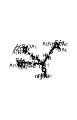 CCCOP(OC1CCC(C(=O)NC(COCCC(=O)NCCOCCOC2OC(COC(C)=O)C(OC(C)=O)C(OC(C)=O)C2NC(C)=O)(COCCC(=O)NCCOCCOC2OC(COC(C)=O)C(OC(C)=O)C(OC(C)=O)C2NC(C)=O)COCCC(=O)NCCOCCOC2OC(COC(C)=O)C(OC(C)=O)C(OC(C)=O)C2NC(C)=O)CC1)N(C(C)C)C(C)C